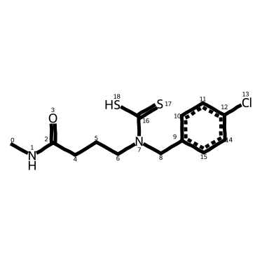 CNC(=O)CCCN(Cc1ccc(Cl)cc1)C(=S)S